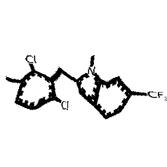 Cc1ccc(Cl)c(Cc2cc3ccc(C(F)(F)F)cc3n2C)c1Cl